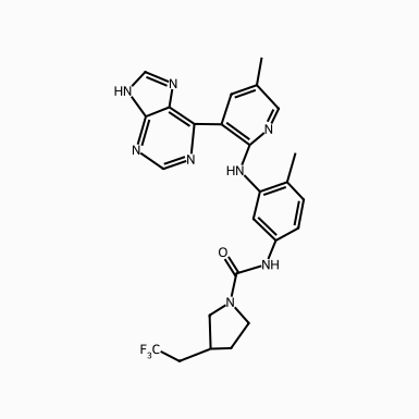 Cc1cnc(Nc2cc(NC(=O)N3CCC(CC(F)(F)F)C3)ccc2C)c(-c2ncnc3[nH]cnc23)c1